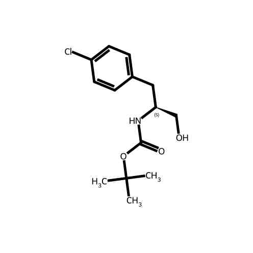 CC(C)(C)OC(=O)N[C@H](CO)Cc1ccc(Cl)cc1